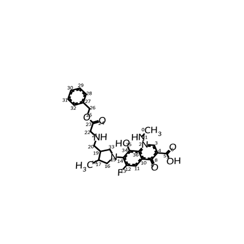 CNn1cc(C(=O)O)c(=O)c2cc(F)c(N3CC(C)C(CNCC(=O)OCc4ccccc4)C3)c(O)c21